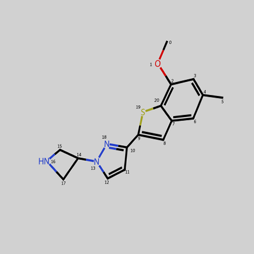 COc1cc(C)cc2cc(-c3ccn(C4CNC4)n3)sc12